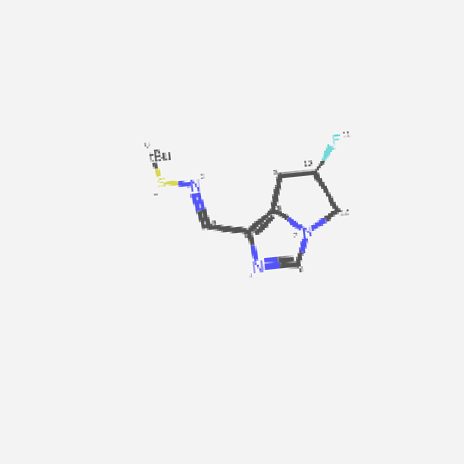 CC(C)(C)SN=Cc1ncn2c1C[C@@H](F)C2